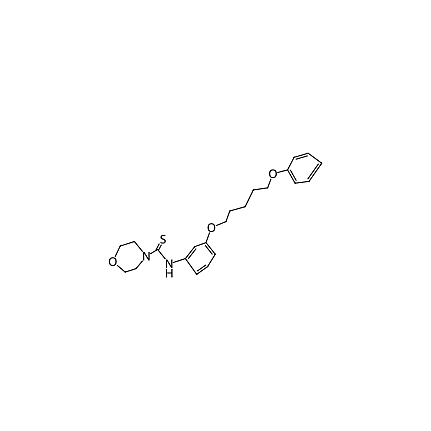 S=C(Nc1cccc(OCCCCCOc2ccccc2)c1)N1CCOCC1